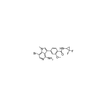 COc1cc(-c2cn(C)c3c(Br)cnc(N)c23)ccc1C(=O)NC1CC1(F)F